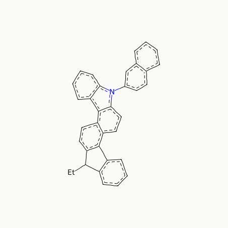 CCC1c2ccccc2-c2c1ccc1c2ccc2c1c1ccccc1n2-c1ccc2ccccc2c1